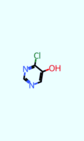 Oc1cncnc1Cl